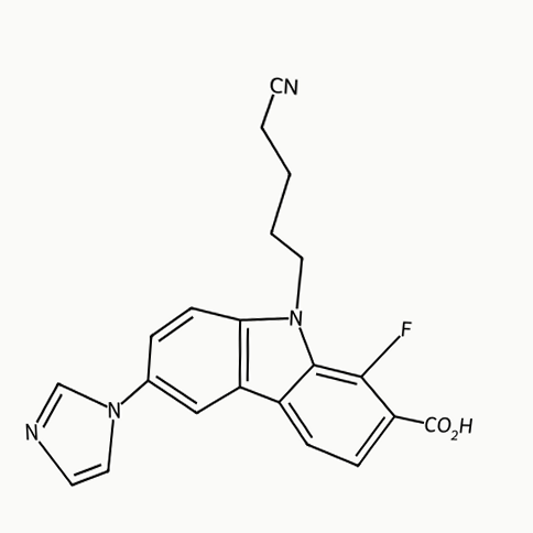 N#CCCCCn1c2ccc(-n3ccnc3)cc2c2ccc(C(=O)O)c(F)c21